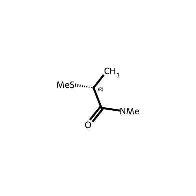 CNC(=O)[C@@H](C)SC